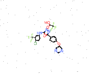 FC(F)(F)c1cc(Nc2nnc(-c3ccc(Oc4cncnc4)cc3)o2)ccc1Cl.O=C(O)C(F)(F)F